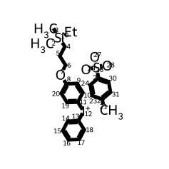 CC[Si](C)(C)CCCOc1ccc([I+]c2ccccc2)cc1.Cc1ccc(S(=O)(=O)[O-])cc1